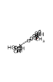 CC(=O)ON(C(=O)Nc1ccccc1)c1cccc(COCCOCCCCCCCNC[C@@H](O)c2ccc(O)c(CO)c2)c1